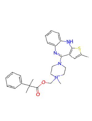 Cc1cc2c(s1)Nc1ccccc1N=C2N1CC[N+](C)(COC(=O)C(C)(C)c2ccccc2)CC1